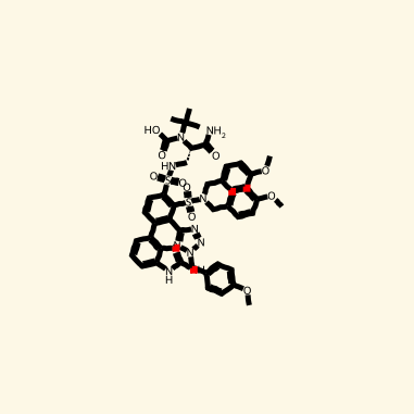 COc1ccc(CN(Cc2ccc(OC)cc2)S(=O)(=O)c2c(S(=O)(=O)NC[C@@H](C(N)=O)N(C(=O)O)C(C)(C)C)ccc(-c3cccc4[nH]c(N)nc34)c2-c2nnn(Cc3ccc(OC)cc3)n2)cc1